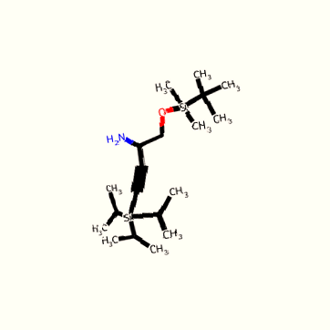 CC(C)[Si](C#CC(N)CO[Si](C)(C)C(C)(C)C)(C(C)C)C(C)C